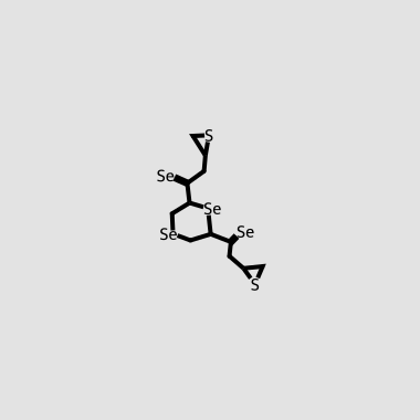 [Se]=C(CC1CS1)C1C[Se]CC(C(=[Se])CC2CS2)[Se]1